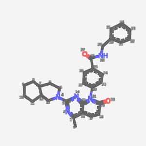 Cc1nc(N2CCC3CCCCC3C2)nc2c1ccc(=O)n2-c1ccc(C(=O)NCc2ccccc2)cc1